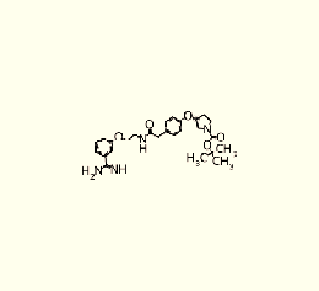 CC(C)(C)OC(=O)N1CC[C@H](Oc2ccc(CC(=O)NCCOc3cccc(C(=N)N)c3)cc2)C1